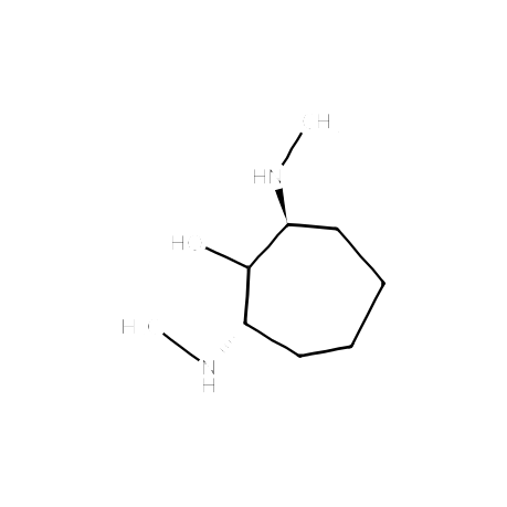 CN[C@H]1CCCC[C@H](NC)C1O